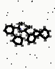 N=C(/N=C(\N)c1ccccc1-c1ccccc1)c1cccc2c1sc1ccccc12